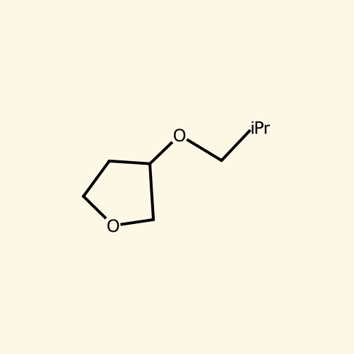 CC(C)COC1CCOC1